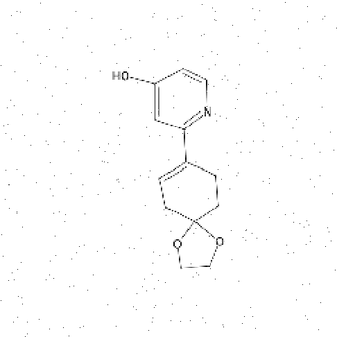 Oc1ccnc(C2=CCC3(CC2)OCCO3)c1